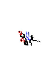 CCCCCC(C(CCC)NC(C1=CCC(OC)C=C1OC)c1ccccc1)C(C)(C)C